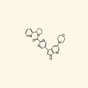 O=C(c1ncc(-c2c[nH]c3ncc(N4CCOCC4)cc23)cn1)N1CCCC1c1ccccn1